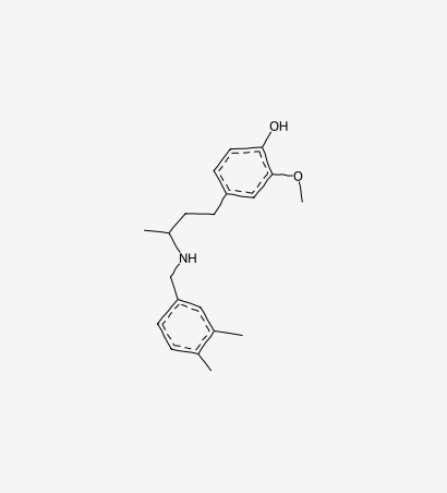 COc1cc(CCC(C)NCc2ccc(C)c(C)c2)ccc1O